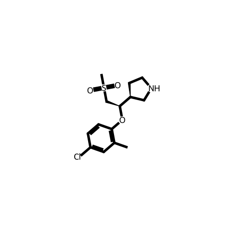 Cc1cc(Cl)ccc1O[C@@H](CS(C)(=O)=O)[C@H]1CCNC1